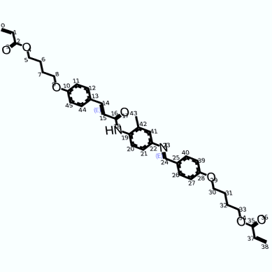 C=CC(=O)OCCCCOc1ccc(/C=C/C(=O)Nc2ccc(/N=C/c3ccc(OCCCCOC(=O)C=C)cc3)cc2C)cc1